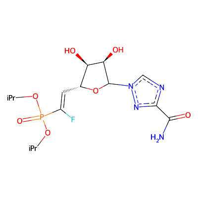 CC(C)OP(=O)(OC(C)C)/C(F)=C/[C@H]1OC(n2cnc(C(N)=O)n2)[C@H](O)[C@@H]1O